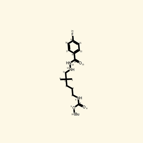 CC(C)(CCCNC(=O)OC(C)(C)C)CNNC(=O)c1ccc(F)cc1